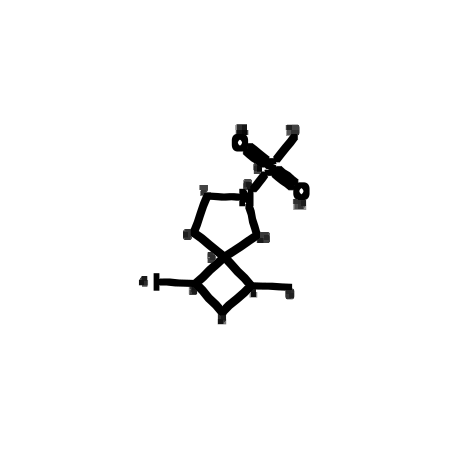 CC1CC(I)C12CCN(S(C)(=O)=O)C2